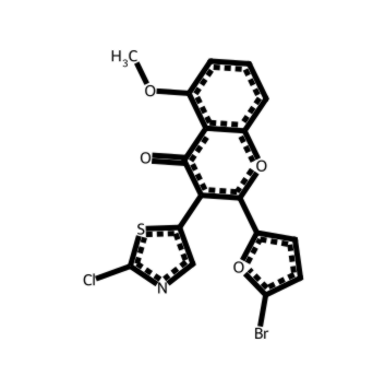 COc1cccc2oc(-c3ccc(Br)o3)c(-c3cnc(Cl)s3)c(=O)c12